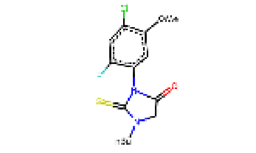 CCCCN1CC(=O)N(c2cc(OC)c(Cl)cc2F)C1=S